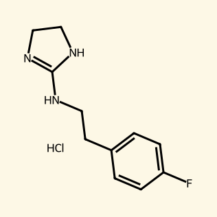 Cl.Fc1ccc(CCNC2=NCCN2)cc1